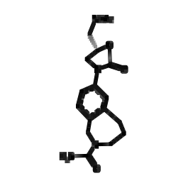 BC(=O)N1CCCc2cc(N3C[C@H](CNC(C)=O)OC3=O)ccc2C1